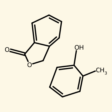 Cc1ccccc1O.O=C1OCc2ccccc21